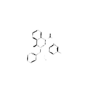 O=C(O)[C@@H]1c2ccccc2C(=O)N([C@H](CO)c2ccccc2)[C@H]1c1ccc(Cl)cc1Cl